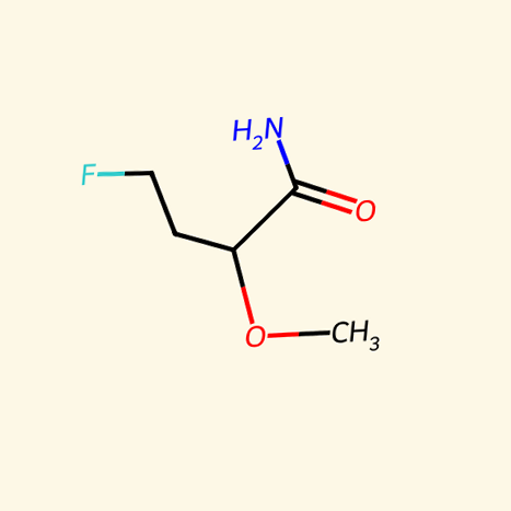 COC(CCF)C(N)=O